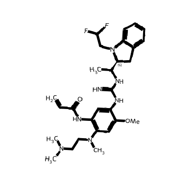 C=CC(=O)Nc1cc(NC(=N)NC(C)[C@@H]2Cc3ccccc3N2CC(F)F)c(OC)cc1N(C)CCN(C)C